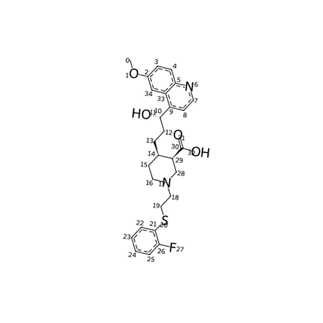 COc1ccc2nccc([C@@H](O)CC[C@@H]3CCN(CCSc4ccccc4F)C[C@@H]3C(=O)O)c2c1